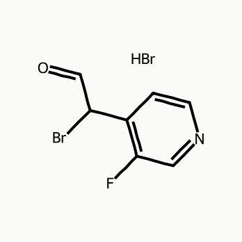 Br.O=CC(Br)c1ccncc1F